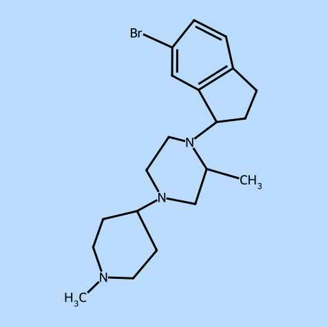 CC1CN(C2CCN(C)CC2)CCN1C1CCc2ccc(Br)cc21